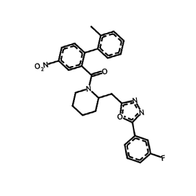 Cc1ccccc1-c1ccc([N+](=O)[O-])cc1C(=O)N1CCCCC1Cc1nnc(-c2cccc(F)c2)o1